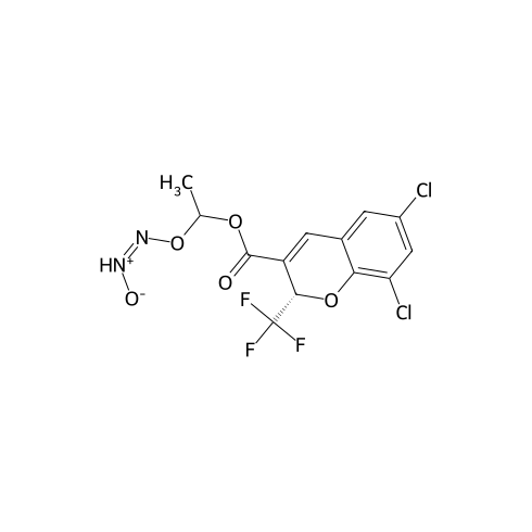 CC(O/N=[NH+]\[O-])OC(=O)C1=Cc2cc(Cl)cc(Cl)c2O[C@@H]1C(F)(F)F